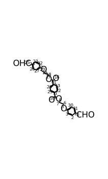 O=Cc1ccc(OCCOC(=O)c2ccc(C(=O)OCCOc3ccc(C=O)cc3)cc2)cc1